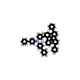 c1ccc(-c2ccc(N(c3ccc(-c4ccccc4)cc3)c3ccc4sc5ccc6c(c5c4c3)-c3ccccc3C63c4cc(-c5ccccc5)ccc4-c4ccc(-c5ccccc5)cc43)cc2)cc1